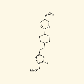 C=C[C@H]1CO[C@H](C2CCC(CCc3ccc(COC)c(F)c3)CC2)OC1